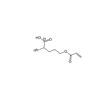 C=CC(=O)OCCCC(CCC)[PH](=O)O